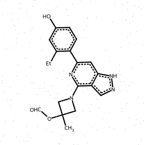 CCc1cc(O)ccc1-c1cc2[nH]ncc2c(N2CC(C)(OC=O)C2)n1